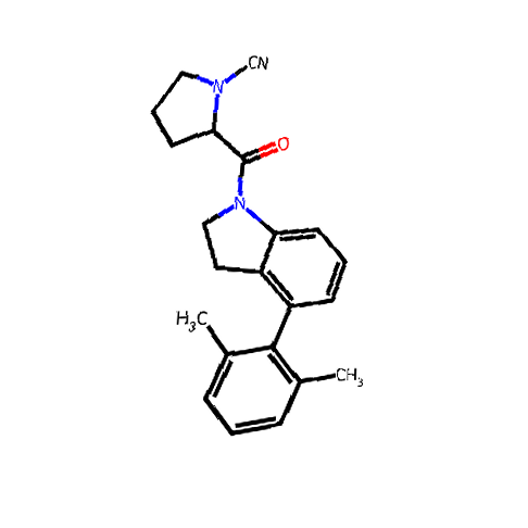 Cc1cccc(C)c1-c1cccc2c1CCN2C(=O)C1CCCN1C#N